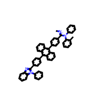 C/N=C(\c1ccc(-c2c3ccccc3c(-c3ccc(-c4nc5ccccc5n4-c4ccccc4)cc3)c3ccccc23)cc1)N(c1ccccc1)c1ccccc1C